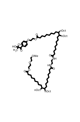 CCCCCCCCC(CCCCCCCCC(=O)NCCNC(=O)CCCCCCCCC(CCCCCCCC)C(CCCCCCCC)CCCCCCCCC(=O)OCCOc1ccc(C(=O)C(C)(C)O)cc1)C(CCCCCCCC)CCCCCCCCC(=O)OCCOCCOC